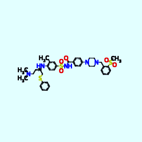 Cc1cc(S(=O)(=O)NC(=O)c2ccc(N3CCN(Cc4ccccc4S(C)(=O)=O)CC3)cc2)ccc1N[C@H](CCN(C)C)CSc1ccccc1